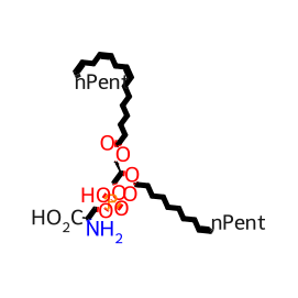 CCCCC/C=C\C/C=C\C/C=C\CCCCCCC(=O)OC[C@H](COP(=O)(O)OC[C@H](N)C(=O)O)OC(=O)CCCCCCC/C=C\CCCCC